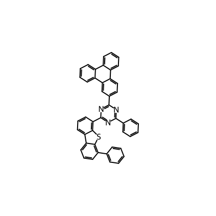 c1ccc(-c2nc(-c3ccc4c5ccccc5c5ccccc5c4c3)nc(-c3cccc4c3sc3c(-c5ccccc5)cccc34)n2)cc1